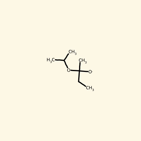 CCC(C)([O])OC(C)C